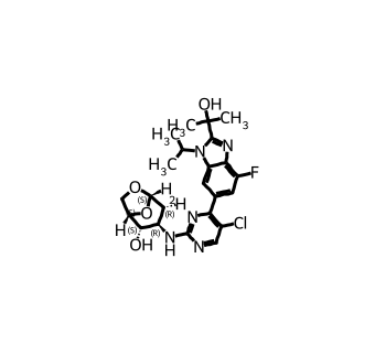 [2H][C@H]1[C@H]2OC[C@H](O2)[C@@H](O)[C@@H]1Nc1ncc(Cl)c(-c2cc(F)c3nc(C(C)(C)O)n(C(C)C)c3c2)n1